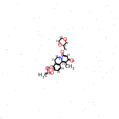 Cc1c2n(c(OCC3COCCO3)cc1=O)CCc1cc(OP(C)O)ccc1-2